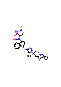 CC1(CN2CCC(C)(n3cc(Nc4ccc5c6c(cccc46)C(=O)N5C4CCC(=O)NC4=O)cn3)CC2)CCC1